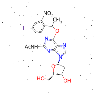 CC(=O)Nc1nc(OC(C)c2ccc(I)cc2[N+](=O)[O-])c2ncn([C@H]3CC(O)[C@@H](CO)O3)c2n1